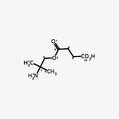 CC(C)(N)COC(=O)CCC(=O)O